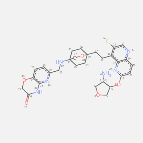 N[C@H]1COCC1Oc1ccc2ncc(F)c(CCC34CCC(NCc5ccc6c(n5)NC(=O)CO6)(CC3)CO4)c2n1